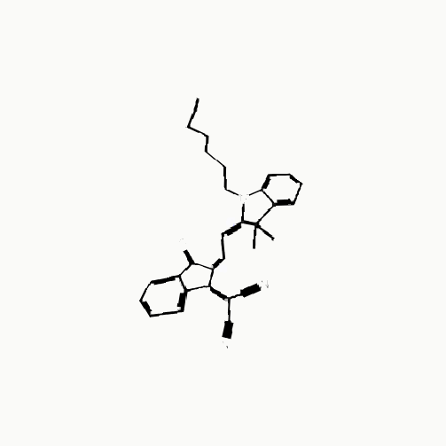 CCCCCCN1/C(=C/C=C2\C(=O)c3ccccc3C2=C(C#N)C#N)C(C)(C)c2ccccc21